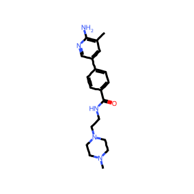 Cc1cc(-c2ccc(C(=O)NCCN3CCN(C)CC3)cc2)cnc1N